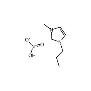 CCCN1C=CN(C)C1.O=[N+]([O-])O